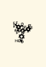 CN(C(=O)c1cc(C(F)(F)F)cc(C(F)(F)F)c1)C1CCN(C2CCN(C(=O)O)CC2)CC1c1ccc(F)c(Cl)c1